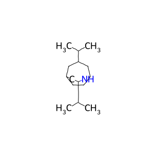 CC(C)C1CC2CCC(C1)NC(C(C)C)C2